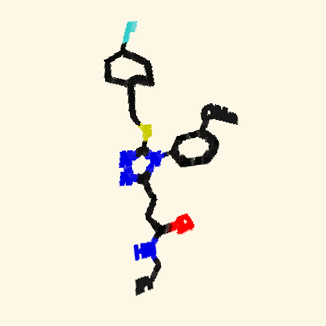 COc1cccc(-n2c(CCC(=O)NCC(C)C)nnc2SCC2=CC=C(F)CC2)c1